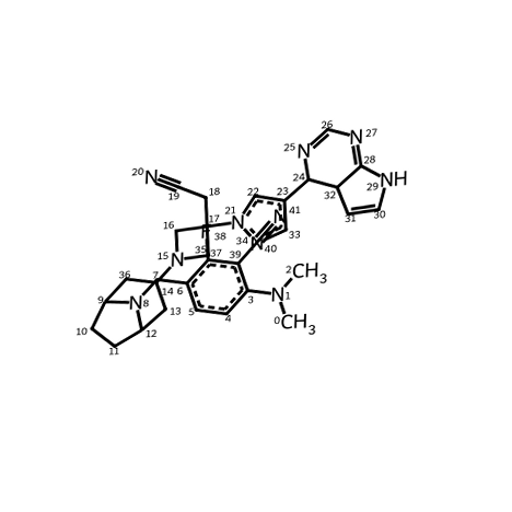 CN(C)c1ccc(CN2C3CCC2CC(N2CC(CC#N)(n4cc(C5N=CN=C6NC=CC65)cn4)C2)C3)c(F)c1C#N